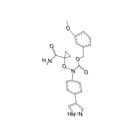 COc1cccc(COC(=O)N(OC2(C(N)=O)CC2)c2ccc(-c3cn[nH]c3)cc2)c1